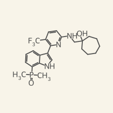 CP(C)(=O)c1cccc2c(-c3nc(NCC4(O)CCCCCC4)ccc3C(F)(F)F)c[nH]c12